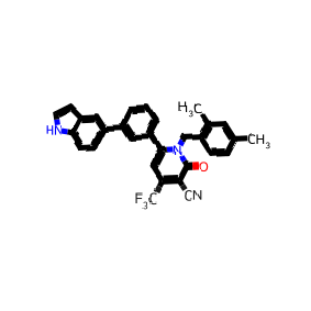 Cc1ccc(Cn2c(-c3cccc(-c4ccc5[nH]ccc5c4)c3)cc(C(F)(F)F)c(C#N)c2=O)c(C)c1